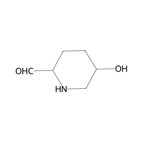 O=CC1CCC(O)CN1